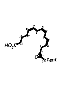 CCCCCC1=C(C/C=C\C/C=C\C/C=C\CCCC(=O)O)O1